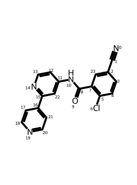 N#Cc1ccc(Cl)c(C(=O)Nc2ccnc(-c3ccncc3)c2)c1